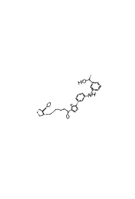 CC(O)c1cccc(Nc2cccc(-c3ccc(C(=O)CCCCC4CCCC4=O)s3)c2)c1